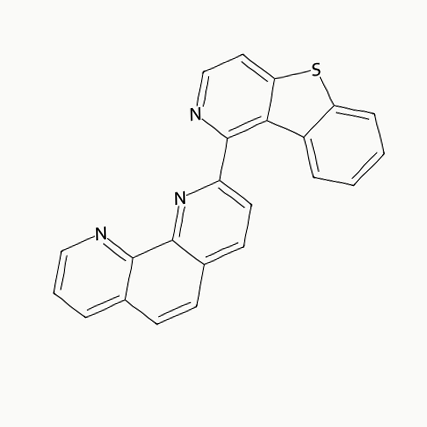 c1cnc2c(c1)ccc1ccc(-c3nccc4sc5ccccc5c34)nc12